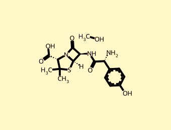 CC1(C)S[C@@H]2[C@H](NC(=O)[C@H](N)c3ccc(O)cc3)C(=O)N2[C@H]1C(=O)O.CO